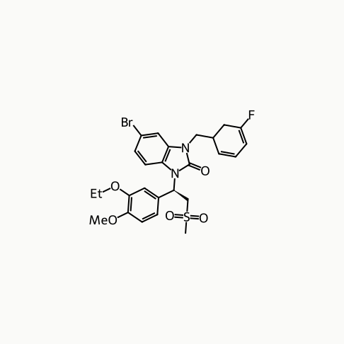 CCOc1cc([C@H](CS(C)(=O)=O)n2c(=O)n(CC3C=CC=C(F)C3)c3cc(Br)ccc32)ccc1OC